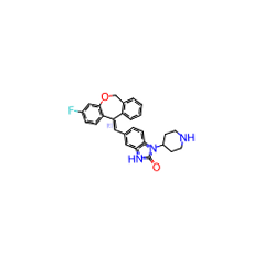 O=c1[nH]c2cc(/C=C3\c4ccccc4COc4cc(F)ccc43)ccc2n1C1CCNCC1